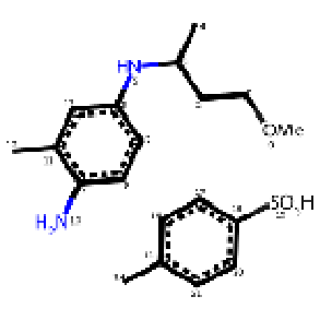 COCCC(C)Nc1ccc(N)c(C)c1.Cc1ccc(S(=O)(=O)O)cc1